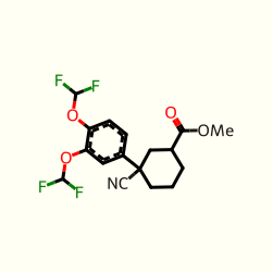 COC(=O)C1CCCC(C#N)(c2ccc(OC(F)F)c(OC(F)F)c2)C1